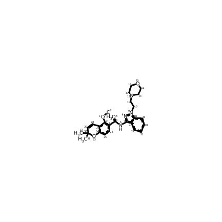 COc1c(C(=O)Nc2nn(CCN3CCOCC3)c3ccccc23)ccc2c1C=CC(C)(C)O2